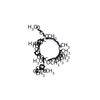 COCCOCCO[C@@H]1C[C@@H]2CC[C@@H](C)[C@@](O)(O2)C(=O)C(=O)N2CCCC[C@H]2C(=O)O[C@H]([C@H](C)C[C@@H]2CC[C@@H](OP(C)(C)=O)[C@H](OC)C2)CC(=O)[C@H](C)/C=C(\C)[C@@H](OC)[C@@H](OC)C(=O)[C@H](C)C[C@H](C)/C=C/C=C/C=C/1C